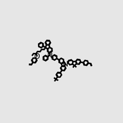 C=CC1=CC[C@@H](OC(CC)CCCCC2(C3=CC=CCC3)C3=CC(N(C4=CCC(C5=Cc6c(n(C7C=CC8c9ccc(C%10=CC=C(C=C)CC%10)cc9C(C)(C)C8C7)c7ccc(C8=CC=C(C(C)(C)C)CC8)cc67)CC5)C=C4)c4ccccc4)=CCC3c3ccccc32)C=C1